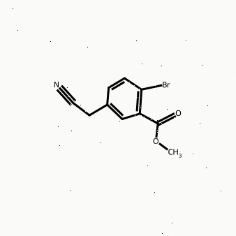 COC(=O)c1cc(CC#N)ccc1Br